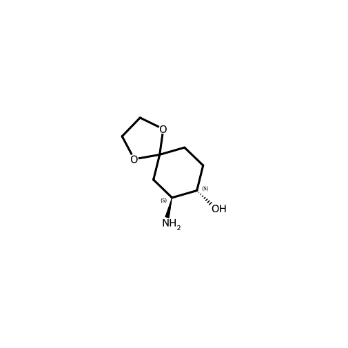 N[C@H]1CC2(CC[C@@H]1O)OCCO2